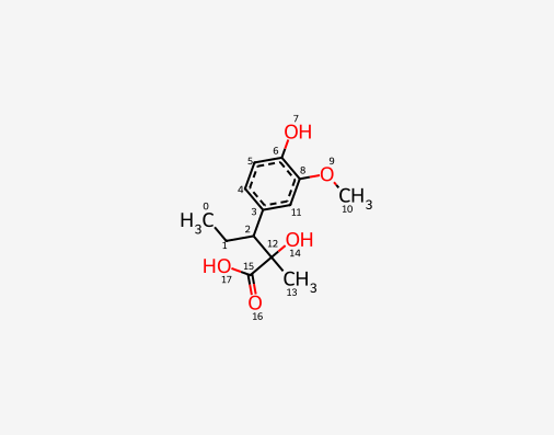 CCC(c1ccc(O)c(OC)c1)C(C)(O)C(=O)O